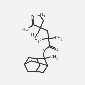 CCC(C)(CC(C)(C)C(=O)OC1(C)C2CC3CC(C2)CC1C3)C(=O)O